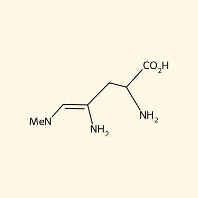 CN/C=C(\N)CC(N)C(=O)O